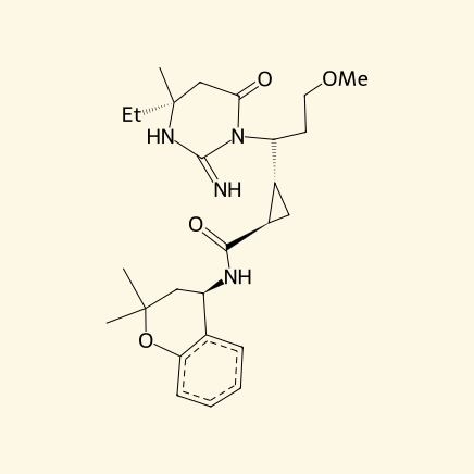 CC[C@]1(C)CC(=O)N(C(CCOC)[C@@H]2C[C@H]2C(=O)N[C@@H]2CC(C)(C)Oc3ccccc32)C(=N)N1